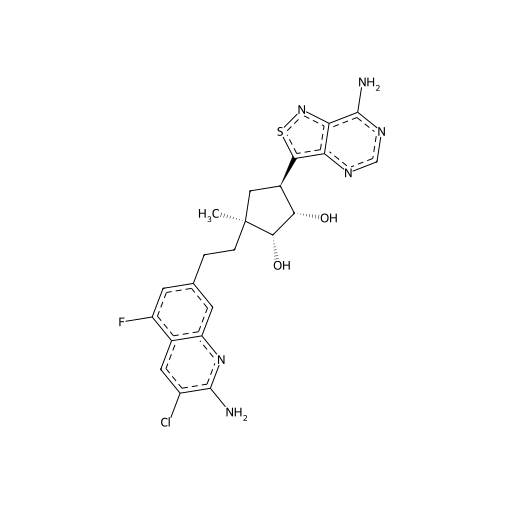 C[C@]1(CCc2cc(F)c3cc(Cl)c(N)nc3c2)C[C@@H](c2snc3c(N)ncnc23)[C@H](O)[C@@H]1O